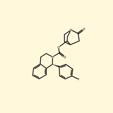 O=C1CC2CCN1CC2OC(=O)N1CCc2ccccc2[C@@H]1c1ccc(F)cc1